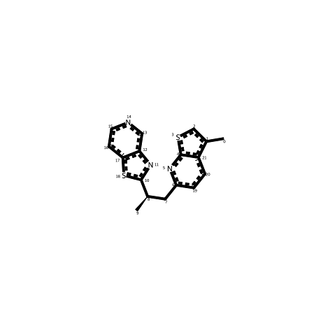 Cc1csc2nc(C[C@@H](C)c3nc4cnccc4s3)ccc12